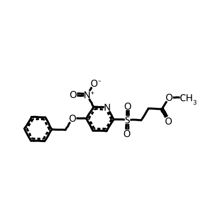 COC(=O)CCS(=O)(=O)c1ccc(OCc2ccccc2)c([N+](=O)[O-])n1